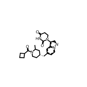 CC1C[C@H](Cc2ccn3ncc(N4CCC(=O)NC4=O)c3c2)CCN1C(=O)C1CCC1